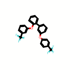 FC(F)(F)c1ccc(Oc2cccc(-c3cc[c]cc3Oc3cccc(C(F)(F)F)c3)c2)cc1